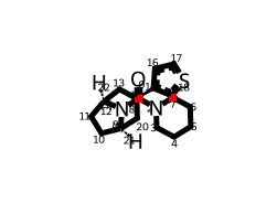 O=C(N1CCCCC1)N1[C@@H]2CC[C@H]1C[C@@H](c1ccsc1)C2